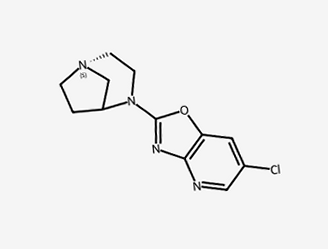 Clc1cnc2nc(N3CC[N@@]4CCC3C4)oc2c1